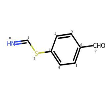 N=CSc1ccc(C=O)cc1